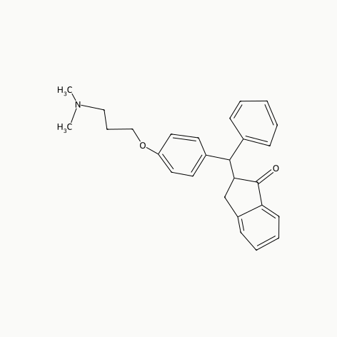 CN(C)CCCOc1ccc(C(c2ccccc2)C2Cc3ccccc3C2=O)cc1